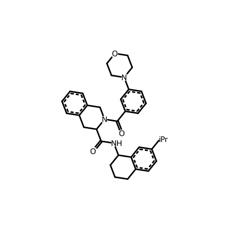 CC(C)c1ccc2c(c1)C(NC(=O)C1Cc3ccccc3CN1C(=O)c1cccc(N3CCOCC3)c1)CCC2